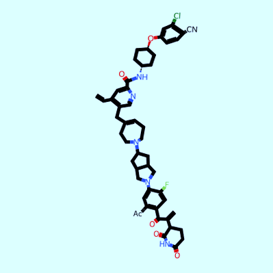 C=Cc1cc(C(=O)N[C@H]2CC[C@H](Oc3ccc(C#N)c(Cl)c3)CC2)ncc1CC1=CCCN(C2CC3CN(c4cc(C(C)=O)c(C(=O)C(=C)C5CCC(=O)NC5=O)cc4F)CC3C2)CC1